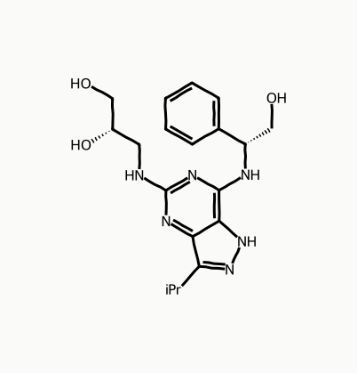 CC(C)c1n[nH]c2c(N[C@@H](CO)c3ccccc3)nc(NC[C@H](O)CO)nc12